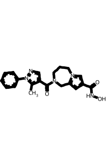 Cc1c(C(=O)N2CCCn3cc(C(=O)NO)cc3C2)cnn1-c1ccccc1